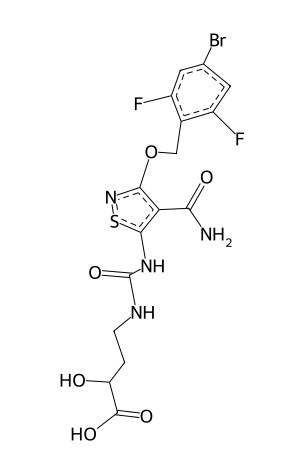 NC(=O)c1c(OCc2c(F)cc(Br)cc2F)nsc1NC(=O)NCCC(O)C(=O)O